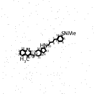 CNSc1cccc(CCCCNC2CCC3(CCN(Sc4cnc5ccccc5c4C)CC3)C2)c1